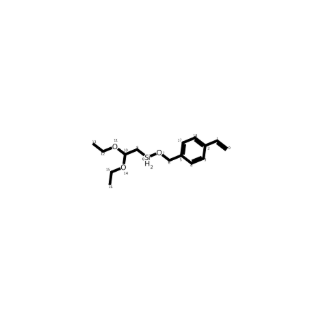 C=Cc1ccc(CO[SiH2]CC(OCC)OCC)cc1